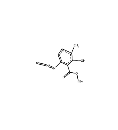 CCCCOC(=O)c1c(N=[N+]=[N-])ccc(C)c1O